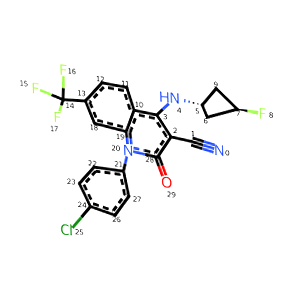 N#Cc1c(N[C@H]2C[C@H](F)C2)c2ccc(C(F)(F)F)cc2n(-c2ccc(Cl)cc2)c1=O